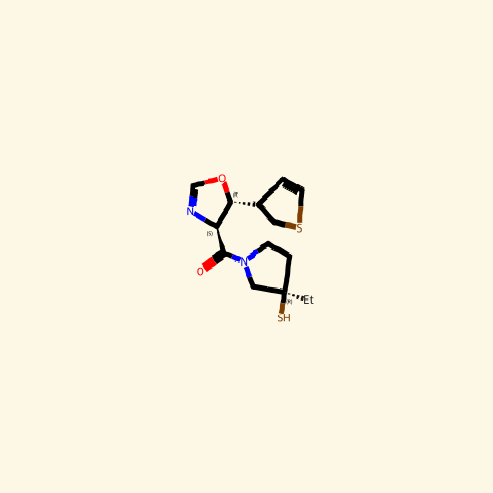 CC[C@@]1(S)CCN(C(=O)[C@H]2N=CO[C@@H]2C2C=CSC2)C1